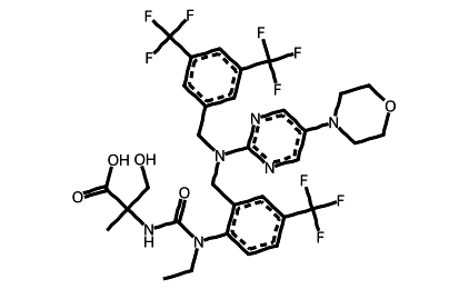 CCN(C(=O)NC(C)(CO)C(=O)O)c1ccc(C(F)(F)F)cc1CN(Cc1cc(C(F)(F)F)cc(C(F)(F)F)c1)c1ncc(N2CCOCC2)cn1